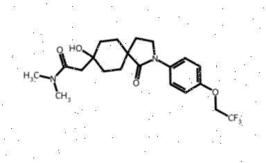 CN(C)C(=O)CC1(O)CCC2(CCN(c3ccc(OCC(F)(F)F)cc3)C2=O)CC1